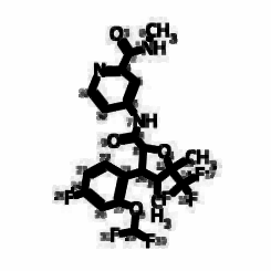 CNC(=O)c1cc(NC(=O)C2OC(C)(C(F)(F)F)C(C)C2c2ccc(F)cc2OC(F)F)ccn1